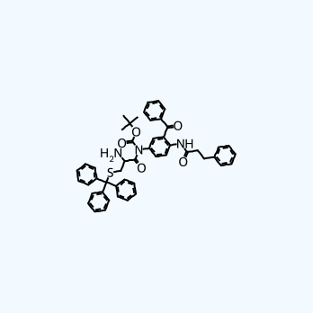 CC(C)(C)OC(=O)N(C(=O)C(N)CSC(c1ccccc1)(c1ccccc1)c1ccccc1)c1ccc(NC(=O)CCc2ccccc2)c(C(=O)c2ccccc2)c1